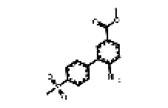 COC(=O)c1ccc(N)c(-c2ccc(S(C)(=O)=O)cc2)c1